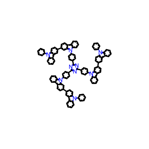 c1ccc(-n2c3ccccc3c3cc(-c4ccc5c6ccccc6n(-c6ccc(-c7nc(-c8ccc(-n9c%10ccccc%10c%10ccc(-c%11ccc%12c(c%11)c%11ccccc%11n%12-c%11ccccc%11)cc%109)cc8)nc(-c8ccc(-n9c%10ccccc%10c%10ccc(-c%11ccc%12c(c%11)c%11ccccc%11n%12-c%11ccccc%11)cc%109)cc8)n7)cc6)c5c4)ccc32)cc1